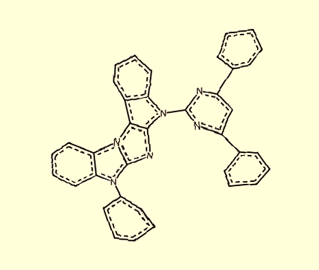 c1ccc(-c2cc(-c3ccccc3)nc(-n3c4ccccc4c4c3nc3n(-c5ccccc5)c5ccccc5n43)n2)cc1